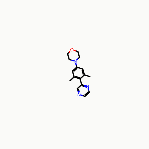 Cc1cc(N2CCOCC2)cc(C)c1-c1cnccn1